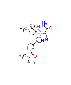 CC1CC[C@@H](Nc2c(C(N)=O)cnn3cc(-c4cccc(C(=O)N(C)C)c4)cc23)C1(C)C